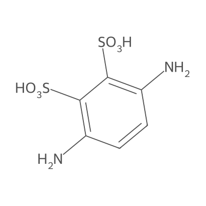 Nc1ccc(N)c(S(=O)(=O)O)c1S(=O)(=O)O